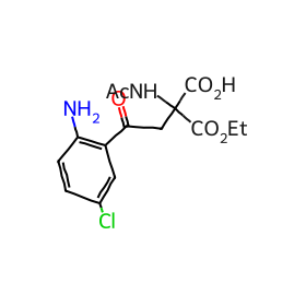 CCOC(=O)C(CC(=O)c1cc(Cl)ccc1N)(NC(C)=O)C(=O)O